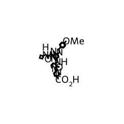 COc1ccc(CN(C)c2cc(Nc3cccn(-c4ccc(C(=O)O)cn4)c3=O)nn3c(C(=O)NC4CCC4)cnc23)cc1